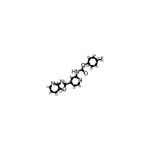 O=C(Nc1cc(-c2nc3ncccc3o2)ccn1)Oc1ccc(F)cc1